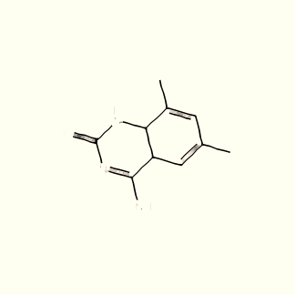 CC1=CC2C(N)=NC(=O)NC2C(C)=C1